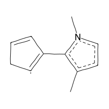 Cc1ccn(C)c1C1=[C]CC=C1